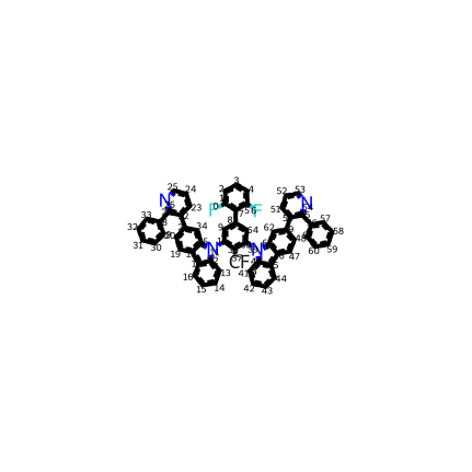 Fc1cccc(F)c1-c1cc(-n2c3ccccc3c3ccc(-c4cccnc4-c4ccccc4)cc32)c(C(F)(F)F)c(-n2c3ccccc3c3ccc(-c4cccnc4-c4ccccc4)cc32)c1